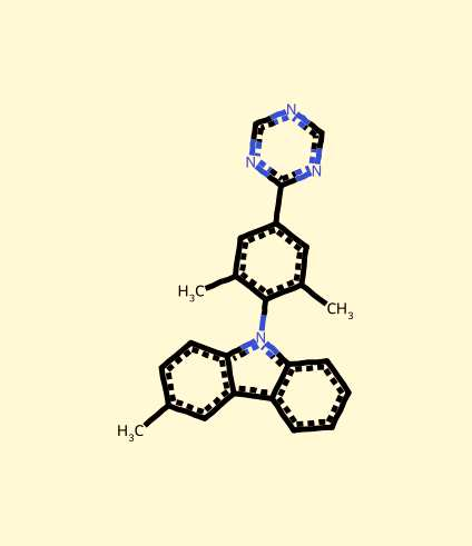 Cc1ccc2c(c1)c1ccccc1n2-c1c(C)cc(-c2ncncn2)cc1C